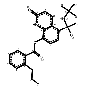 CCCc1ccccc1C(=O)Oc1ccc(C(C)(O)NC(C)(C)C)c2ccc(=O)[nH]c12